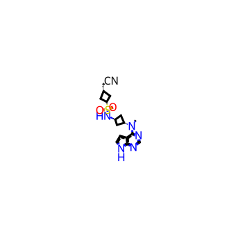 CN(c1ncnc2[nH]ccc12)[C@H]1C[C@H](NS(=O)(=O)[C@H]2C[C@@H](CC#N)C2)C1